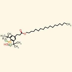 CCCCCCCCCCCCCCCCCCOC(=O)CCc1cc(C(C)(C)C)c([PH](O)(Cl)Cl)c(C(C)(C)C)c1